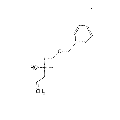 C=CCC1(O)CC(OCc2ccccc2)C1